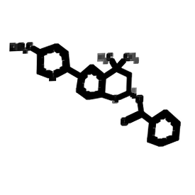 CCOC(=O)c1ccc(-c2ccc3c(c2)C(C)(C)C[C@H](OC(=O)c2ccccc2)S3)nc1